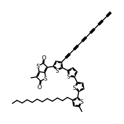 C#CC#CC#CC#CC#CC#Cc1cc(C2=C3SC(=O)C(C)=C3SC2=O)sc1-c1ccc(-c2ccc(-c3sc(C)cc3CCCCCCCCCCCC)s2)s1